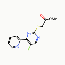 COC(=O)CSc1ncc(F)c(-c2ccccn2)n1